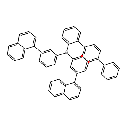 c1ccc(-c2ccc(-c3ccccc3N(c3cccc(-c4cccc5ccccc45)c3)c3cccc(-c4cccc5ccccc45)c3)cc2)cc1